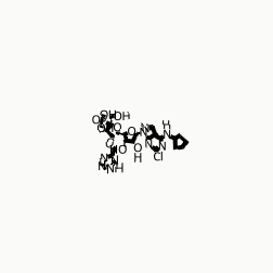 O=P(O)(O)[C@@](CO)(CCOCc1nn[nH]n1)OC[C@H]1O[C@@H](n2ncc3c(NC4CCCC4)nc(Cl)nc32)[C@H](O)[C@@H]1O